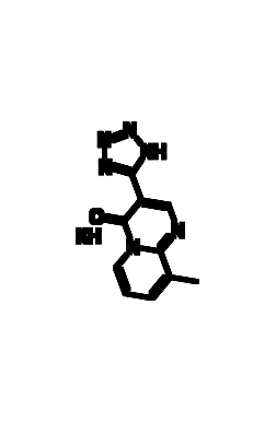 Cc1cccn2c(=O)c(-c3nnn[nH]3)cnc12.[KH]